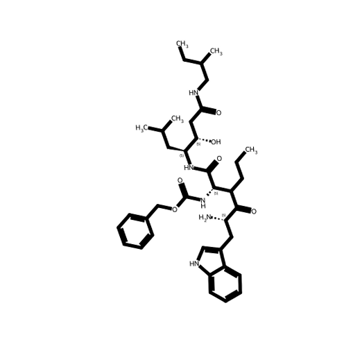 CCCC(C(=O)[C@@H](N)Cc1c[nH]c2ccccc12)[C@H](NC(=O)OCc1ccccc1)C(=O)N[C@@H](CC(C)C)[C@@H](O)CC(=O)NCC(C)CC